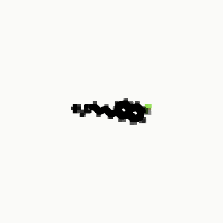 [CH2]CCCCc1ccc2cc(F)ccc2c1